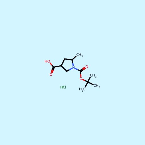 CC1CC(C(=O)O)CN1C(=O)OC(C)(C)C.Cl